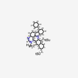 Cc1c2cc(CC(C)(C)C)ccc2c(CC(C)(C)C)c2c1c1c3c(ccc4c5c(-c6ccccc6)cccc5n2c43)nc[n+]1C